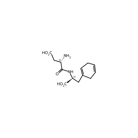 N[C@@H](CC(=O)O)C(=O)N[C@@H](CC1=CCC=CC1)C(=O)O